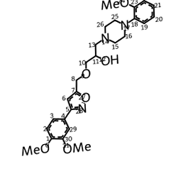 COc1ccc(-c2cc(COCC(O)CN3CCN(c4ccccc4OC)CC3)on2)cc1OC